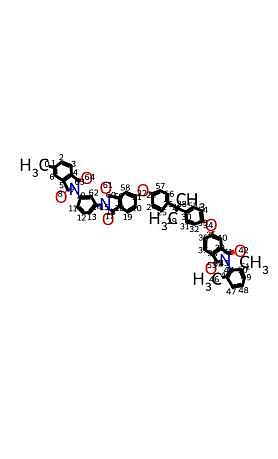 Cc1ccc2c(c1)C(=O)N(c1cccc(N3C(=O)c4ccc(Oc5ccc(C(C)(C)c6ccc(Oc7ccc8c(c7)C(=O)N(c7c(C)cccc7C)C8=O)cc6)cc5)cc4C3=O)c1)C2=O